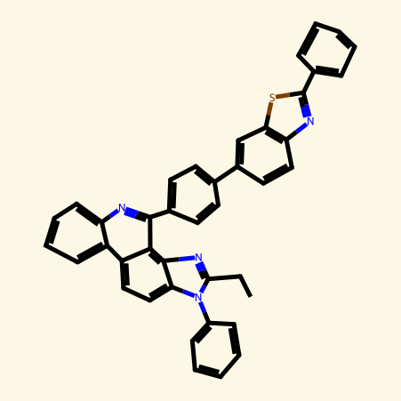 CCc1nc2c3c(-c4ccc(-c5ccc6nc(-c7ccccc7)sc6c5)cc4)nc4ccccc4c3ccc2n1-c1ccccc1